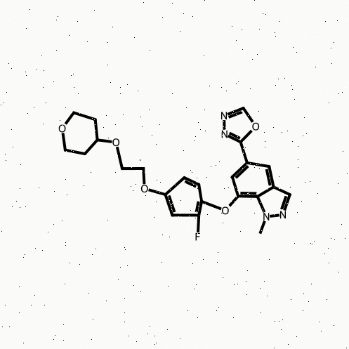 Cn1ncc2cc(-c3nnco3)cc(Oc3ccc(OCCOC4CCOCC4)cc3F)c21